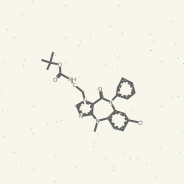 CN1c2ccc(Cl)cc2N(c2ccccc2)C(=O)c2c1ncn2CCNC(=O)OC(C)(C)C